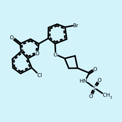 CS(=O)(=O)NC(=O)C1CC(Oc2cc(Br)ccc2-c2cc(=O)c3cccc(Cl)c3o2)C1